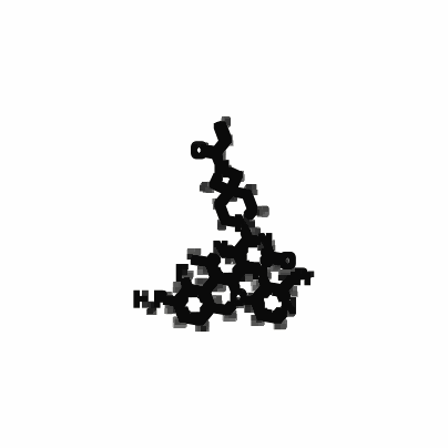 C=CC(=O)N1CC2(CCN(c3nc(=O)n(-c4c(C)ccnc4C(C)C)c4c5c(c(C)nc34)-c3c(ccc(P)c3F)CO5)CC2)C1